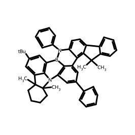 CC(C)(C)c1cc2c3c(c1)C1(C)CCCCC1(C)N3c1cc(-c3ccccc3)cc3c1B2N(c1ccccc1)c1ccc2c(c1-3)C(C)(C)c1ccccc1-2